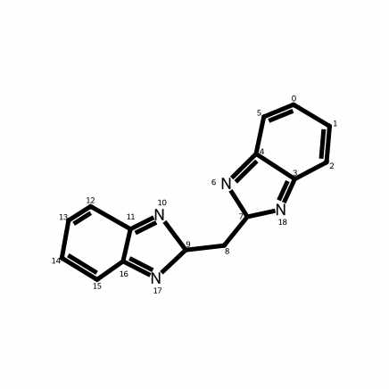 c1ccc2c(c1)=NC(CC1N=c3ccccc3=N1)N=2